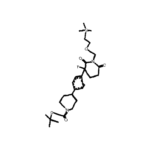 CC(C)(C)OC(=O)N1CCC(c2ccc(C3(F)CCC(=O)N(COCC[Si](C)(C)C)C3=O)cc2)CC1